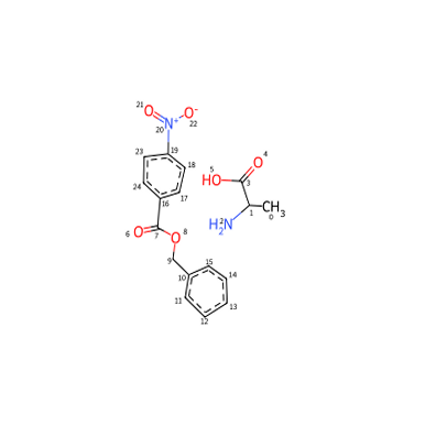 CC(N)C(=O)O.O=C(OCc1ccccc1)c1ccc([N+](=O)[O-])cc1